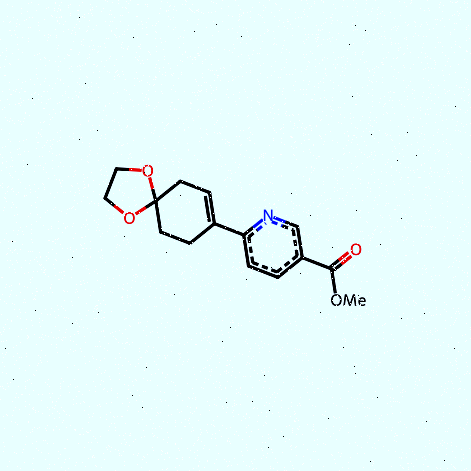 COC(=O)c1ccc(C2=CCC3(CC2)OCCO3)nc1